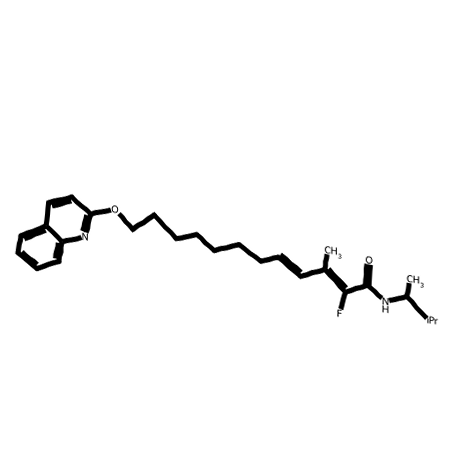 CC(/C=C/CCCCCCCOc1ccc2ccccc2n1)=C(/F)C(=O)NC(C)C(C)C